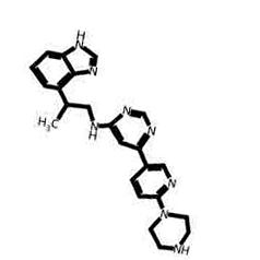 CC(CNc1cc(-c2ccc(N3CCNCC3)nc2)ncn1)c1cccc2[nH]cnc12